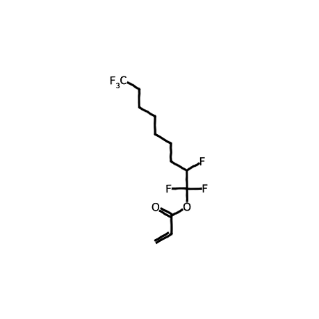 C=CC(=O)OC(F)(F)C(F)CCCCCCC(F)(F)F